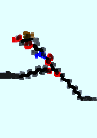 CCCCCCCCCCCCCCCCCCOCC(COC(=O)NCCCOC(C)(S)CO)OCCCCCCCCCCCCCCCCCC